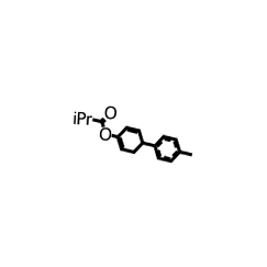 Cc1ccc(C2C=CC(OC(=O)C(C)C)=CC2)cc1